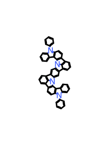 c1ccc(-n2c3ccccc3c3c2ccc2c4cccc5c6cc7c(cc6n(c54)c23)c2cccc3c4ccc5c(c6ccccc6n5-c5ccccc5)c4n7c23)cc1